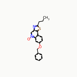 CCCc1nc2c[n+]([O-])c3cc(OCc4ccccc4)ccc3c2s1